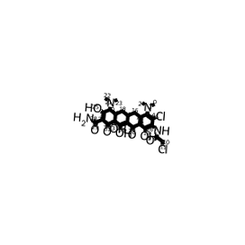 CN(C)c1c(Cl)c(NC(=O)CCl)c(O)c2c1CC1CC3C(N(C)C)C(O)=C(C(N)=O)C(=O)C3(O)C(O)=C1C2=O